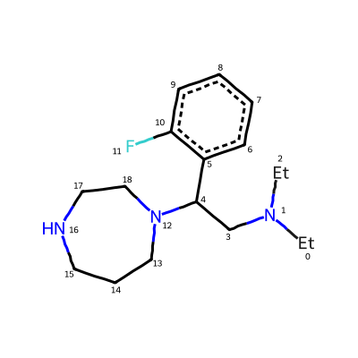 CCN(CC)CC(c1ccccc1F)N1CCCNCC1